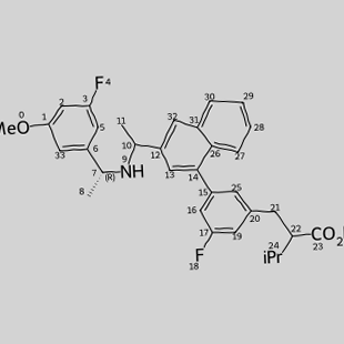 COc1cc(F)cc([C@@H](C)NC(C)c2cc(-c3cc(F)cc(CC(C(=O)O)C(C)C)c3)c3ccccc3c2)c1